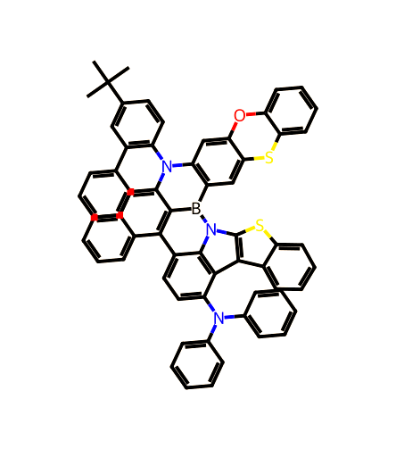 CC(C)(C)c1ccc(N2c3cc4c(cc3B3c5c2cc2ccccc2c5-c2ccc(N(c5ccccc5)c5ccccc5)c5c6c7ccccc7sc6n3c25)Sc2ccccc2O4)c(-c2ccccc2)c1